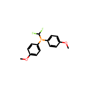 COc1ccc(P(c2ccc(OC)cc2)C(F)F)cc1